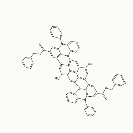 CC(C)(C)c1cc2c3c(cc4c(C(C)(C)C)cc5c6c(cc1c3c46)B1c3ccccc3N(c3ccccc3)c3cc(C(=O)OCc4ccccc4)cc-5c31)B1c3ccccc3N(c3ccccc3)c3cc(C(=O)OCc4ccccc4)cc-2c31